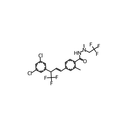 Cc1cc(/C=C/C(c2cc(Cl)cc(Cl)c2)C(F)(F)F)ccc1C(=O)NN(C)CC(F)(F)F